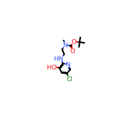 CN(CCNc1ncc(Cl)cc1O)C(=O)OC(C)(C)C